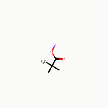 CC(C)(C(=O)OI)C(F)(F)F